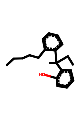 CCCCCc1ccccc1C(C)(CC)c1ccccc1O